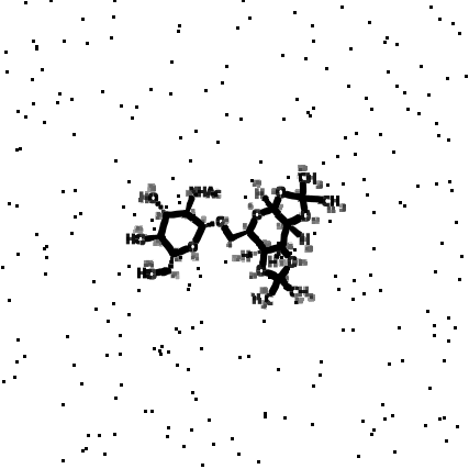 CC(=O)N[C@H]1[C@H](OC[C@H]2O[C@@H]3OC(C)(C)O[C@@H]3[C@H]3OC(C)(C)O[C@H]32)O[C@H](CO)[C@@H](O)[C@@H]1O